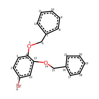 Brc1ccc(OCc2ccccc2)c(OCc2ccccc2)c1